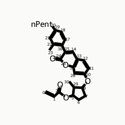 C=CC(=O)OC1CCC(Oc2ccc3cc(-c4ccc(CCCCC)cc4C)c(=O)oc3c2)C1C